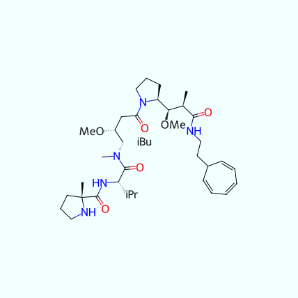 CC[C@H](C)[C@@H]([C@@H](CC(=O)N1CCC[C@H]1[C@H](OC)[C@@H](C)C(=O)NCCC1C=CC=CC=C1)OC)N(C)C(=O)[C@@H](NC(=O)[C@@]1(C)CCCN1)C(C)C